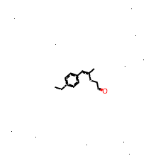 CCc1ccc(/C=C(/C)CCC=O)cc1